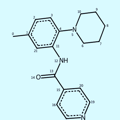 Cc1ccc(N2CCCCC2)c(NC(=O)c2ccncc2)c1